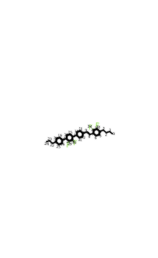 CCCCc1ccc(/C=C/c2ccc(-c3ccc(-c4ccc(CCC)cc4)c(F)c3F)cc2)c(F)c1F